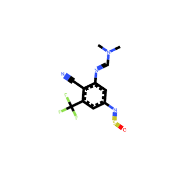 CN(C)/C=N/c1cc(N=S=O)cc(C(F)(F)F)c1C#N